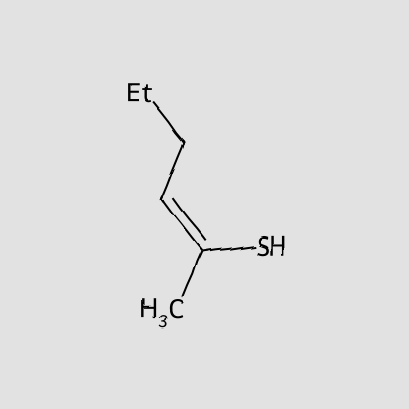 CCCC=C(C)S